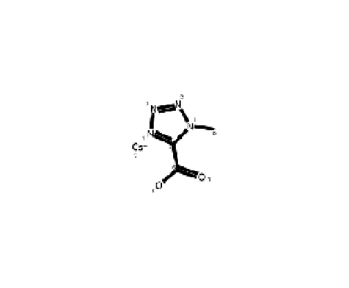 Cn1nnnc1C(=O)[O-].[Cs+]